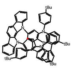 CC(C)(C)c1ccc(N2c3ccc(C(C)(C)C)cc3B3c4cc(C(C)(C)C)ccc4N(c4ccc(C(C)(C)C)cc4)c4cc(-n5c6ccccc6c6ccc7c8ccccc8n(-c8ccc(-n9c%10ccccc%10c%10ccccc%109)cc8)c7c65)cc2c43)cc1